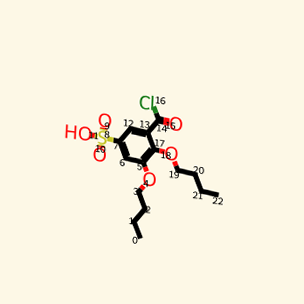 CCCCOc1cc(S(=O)(=O)O)cc(C(=O)Cl)c1OCCCC